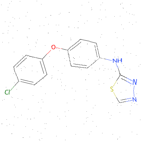 Clc1ccc(Oc2ccc(Nc3nncs3)cc2)cc1